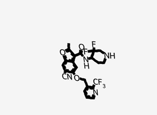 Cc1oc2cc(C#N)c(OCc3cccnc3C(F)(F)F)cc2c1C(=O)NC1CCNCC1(F)F